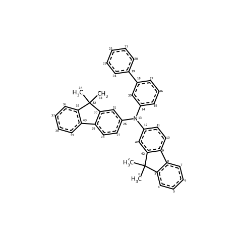 CC1(C)c2ccccc2-c2ccc(N(c3cccc(-c4ccccc4)c3)c3ccc4c(c3)C(C)(C)c3ccccc3-4)cc21